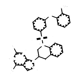 COc1ccccc1Oc1cccc(S(=O)(=O)N2CC(n3ncc4c(N)nc(N)nc43)Cc3ccccc32)c1